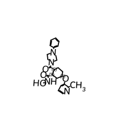 Cc1ncccc1O[C@@H]1CC[C@H](C(=O)N2CCN(c3ccccc3)CC2)[C@@H](C(=O)NO)C1